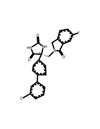 O=C1NC(=O)[C@](CN2Cc3ccc(F)cc3C2=O)(c2ccc(-c3cccc(Cl)c3)cc2)N1